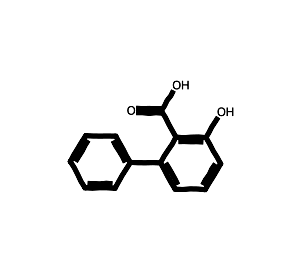 O=C(O)c1c(O)cccc1-c1ccccc1